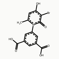 Cc1cc(O)c(Br)c(=O)n1-c1cc(C(=O)O)cc(C(=O)O)c1